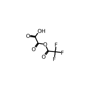 O=C(O)C(=O)OC(=O)C(F)(F)F